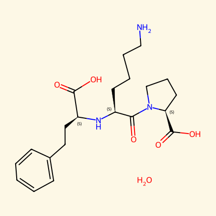 NCCCC[C@H](N[C@@H](CCc1ccccc1)C(=O)O)C(=O)N1CCC[C@H]1C(=O)O.O